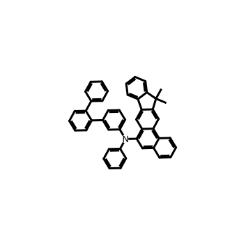 CC1(C)c2ccccc2-c2cc3c(N(c4ccccc4)c4cccc(-c5ccccc5-c5ccccc5)c4)cc4ccccc4c3cc21